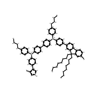 CCCCCCCCC1(CCCCCCCC)c2cc(C)ccc2-c2ccc(-c3ccc(N(c4ccc(CCCC)cc4)c4ccc(-c5ccc(N(c6ccc(CCCC)cc6)c6ccc(-c7cscc7C)cc6)cc5)cc4)cc3)cc21